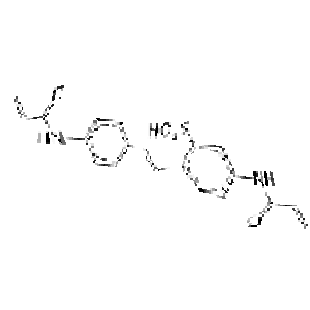 C=CC(=O)Nc1ccc(C=Cc2ccc(NC(=O)C=C)cc2S(=O)(=O)O)cc1